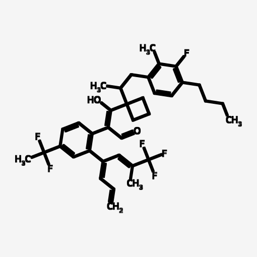 C=C/C=C(\C=C(/C)C(F)(F)F)c1cc(C(C)(F)F)ccc1/C(C=O)=C(\O)C1(C(C)Cc2ccc(CCCC)c(F)c2C)CCC1